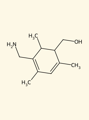 CC1=CC(C)=C(CN)C(C)C1CO